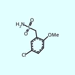 COc1ccc(Cl)cc1CS(N)(=O)=O